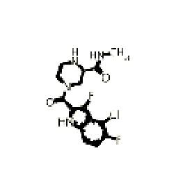 CNC(=O)[C@H]1CN(C(=O)c2[nH]c3ccc(F)c(Cl)c3c2F)CCN1